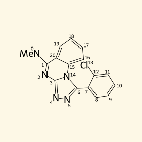 CNc1nc2nnc(-c3ccccc3Cl)n2c2ccccc12